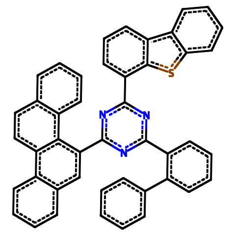 c1ccc(-c2ccccc2-c2nc(-c3cccc4c3sc3ccccc34)nc(-c3cc4ccccc4c4ccc5ccccc5c34)n2)cc1